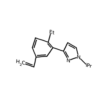 C=Cc1ccc(CC)c(-c2ccn(C(C)C)n2)c1